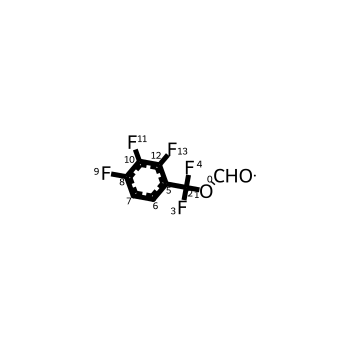 O=[C]OC(F)(F)c1ccc(F)c(F)c1F